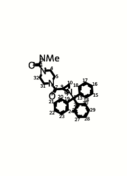 CNC(=O)N1CCN(C(=O)C2C[N@@]2C(c2ccccc2)(c2ccccc2)c2ccccc2)CC1